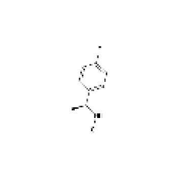 C[C@H](NCl)c1ccc(F)cc1